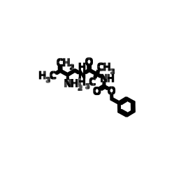 C=C(C)[C@H](N)CNC(=O)C(C)(C)NC(=O)OCc1ccccc1